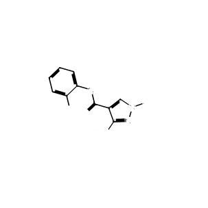 Cn1cc(C(=O)Nc2ccccc2I)c(C(F)(F)F)n1